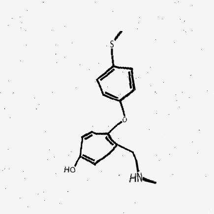 CNCc1cc(O)ccc1Oc1ccc(SC)cc1